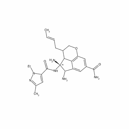 CC=CCC1COc2cc(C(N)=O)cc3c2C1[C@@](N)(NC(=O)c1cc(C)nn1CC)C3N